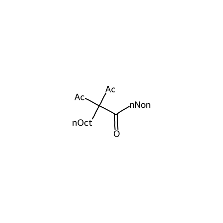 CCCCCCCCCC(=O)C(CCCCCCCC)(C(C)=O)C(C)=O